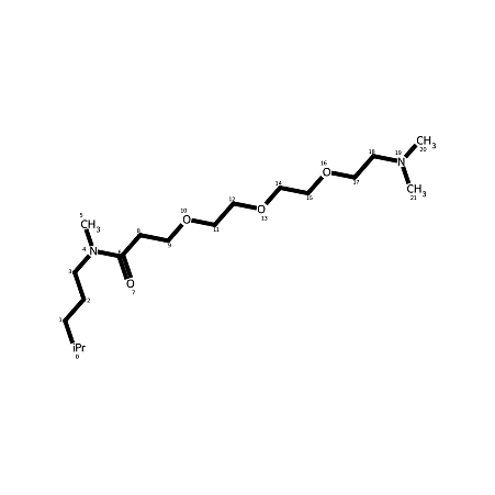 CC(C)CCCN(C)C(=O)CCOCCOCCOCCN(C)C